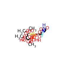 CC(=O)OC[C@H](OC(C)=O)C1OC(OP(=O)(O)OP(=O)(S)OC[C@H]2O[C@@H](n3ccc(=O)[nH]c3=O)C(F)(F)[C@@H]2O)C(OC(C)=O)C(O)C1OC(C)=O